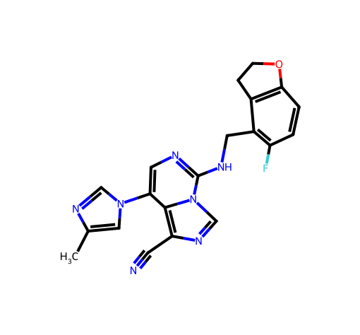 Cc1cn(-c2cnc(NCc3c(F)ccc4c3CCO4)n3cnc(C#N)c23)cn1